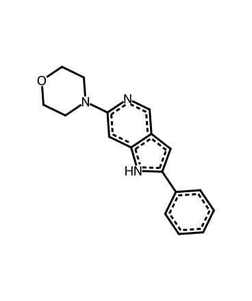 c1ccc(-c2cc3cnc(N4CCOCC4)cc3[nH]2)cc1